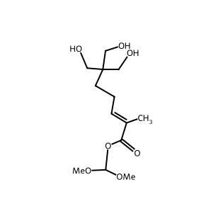 COC(OC)OC(=O)C(C)=CCCC(CO)(CO)CO